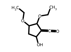 CCOC1CC(O)C(=C=O)C1OCC